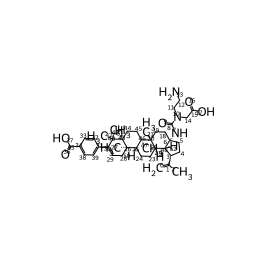 C=C(C)[C@@H]1CC[C@]2(NC(=O)N(CCN)CC(=O)O)CC[C@]3(C)[C@H](CC[C@@H]4[C@@]5(C)CC=C(c6ccc(C(=O)O)cc6)C(C)(C)[C@@H]5CC[C@]43C)[C@@H]12